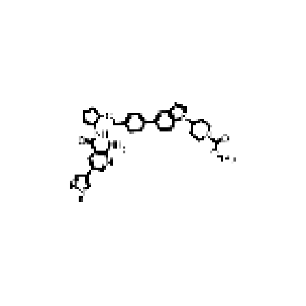 Cn1cc(-c2cnc(N)c(C(=O)N[C@H]3CCC[C@@H]3OCc3ccc(-c4ccc5c(ccn5C5CCN(C(=O)OC(C)(C)C)CC5)c4)cc3)c2)cn1